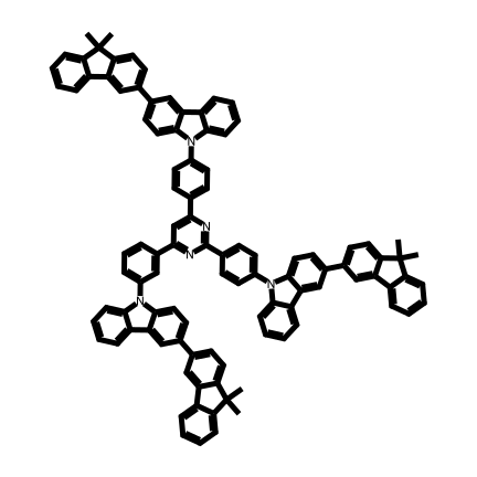 CC1(C)c2ccccc2-c2cc(-c3ccc4c(c3)c3ccccc3n4-c3ccc(-c4cc(-c5cccc(-n6c7ccccc7c7cc(-c8ccc9c(c8)-c8ccccc8C9(C)C)ccc76)c5)nc(-c5ccc(-n6c7ccccc7c7cc(-c8ccc9c(c8)-c8ccccc8C9(C)C)ccc76)cc5)n4)cc3)ccc21